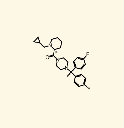 CC(c1ccc(F)cc1)(c1ccc(F)cc1)N1CCN(C(=O)[C@@H]2CCCCN2CC2CC2)CC1